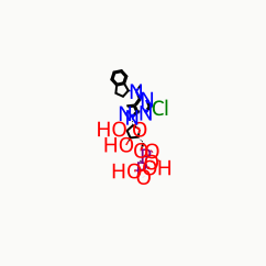 COP(=O)(CP(=O)(O)O)OC[C@H]1O[C@@H](n2ncc3c(N(C)[C@H]4CCc5ccccc54)nc(Cl)nc32)[C@H](O)[C@@H]1O